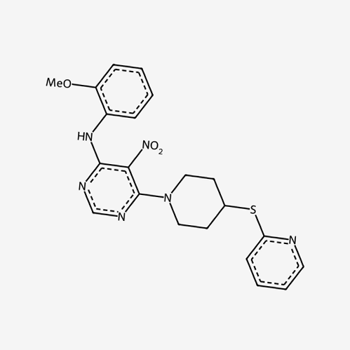 COc1ccccc1Nc1ncnc(N2CCC(Sc3ccccn3)CC2)c1[N+](=O)[O-]